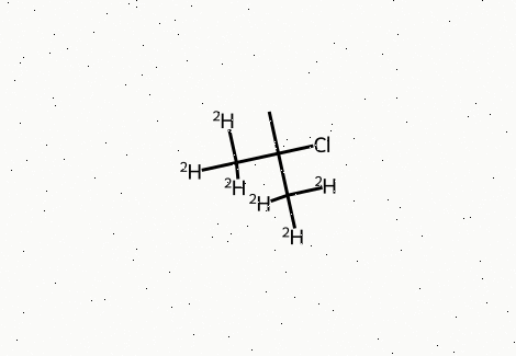 [2H]C([2H])([2H])C(C)(Cl)C([2H])([2H])[2H]